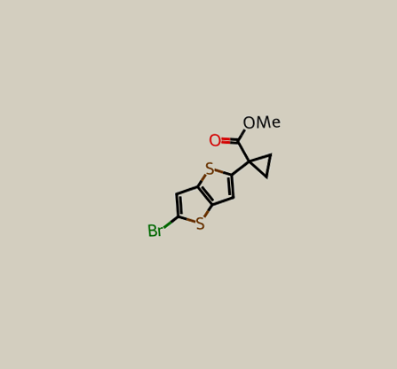 COC(=O)C1(c2cc3sc(Br)cc3s2)CC1